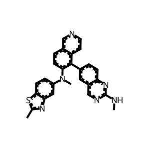 CNc1ncc2cc(-c3c(N(C)c4ccc5sc(C)nc5c4)ccc4cnccc34)ccc2n1